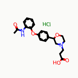 CC(=O)Nc1ccccc1Oc1ccc(C2CN(CCC(=O)O)CCO2)cc1.Cl